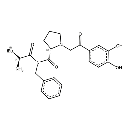 CC[C@H](C)[C@H](N)C(=O)N(Cc1ccccc1)C(=O)[C@@H]1CCCN1CC(=O)c1ccc(O)c(O)c1